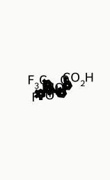 Cc1cc(N2C(=O)C(=NNc3cccc(-c4cccc(OC(=O)O)c4)c3O)c3ccc(C(F)(F)F)cc32)cc(C)c1F